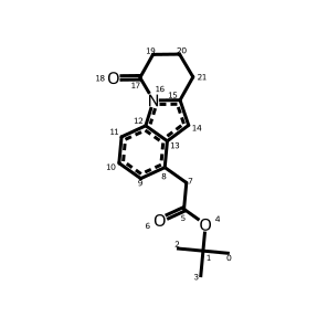 CC(C)(C)OC(=O)Cc1cccc2c1cc1n2C(=O)CCC1